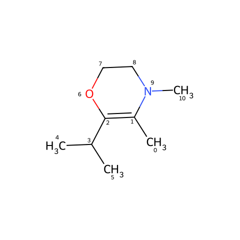 CC1=C(C(C)C)OCCN1C